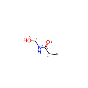 CCC(=O)NCO